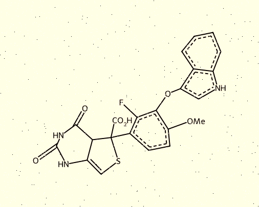 COc1ccc(C2(C(=O)O)SC=C3NC(=O)NC(=O)C32)c(F)c1Oc1c[nH]c2ccccc12